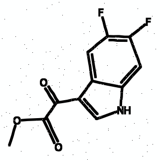 COC(=O)C(=O)c1c[nH]c2cc(F)c(F)cc12